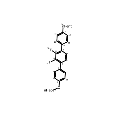 CCCCCCCOc1ccc(-c2ccc(-c3ccc(CCCCC)cc3)c(F)c2F)cc1